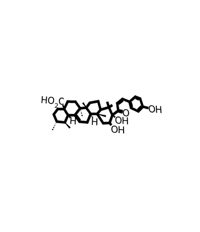 C[C@H]1[C@H](C)CC[C@]2(C(=O)O)CC[C@]3(C)C(=CC[C@@H]4[C@@]5(C)CC(O)[C@@](O)(C(=O)/C=C\c6ccc(O)cc6)C(C)(C)C5CC[C@]43C)[C@H]12